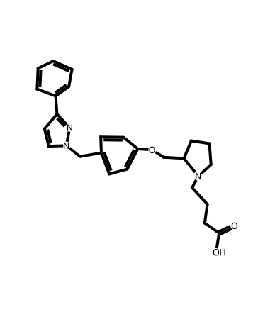 O=C(O)CCCN1CCCC1COc1ccc(Cn2ccc(-c3ccccc3)n2)cc1